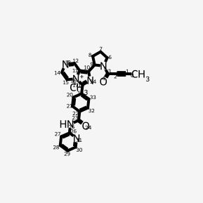 CC#CC(=O)N1CCCC1C1=C2C=NC=C[N+]2(C)C(c2ccc(C(=O)Nc3ccccn3)cc2)=N1